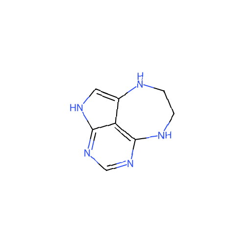 c1nc2c3c(c[nH]c3n1)NCCN2